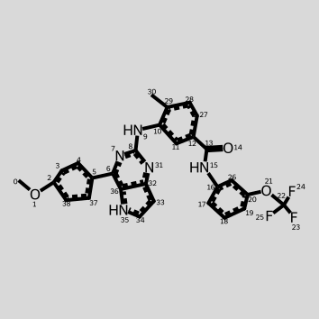 COc1ccc(-c2nc(Nc3cc(C(=O)Nc4cccc(OC(F)(F)F)c4)ccc3C)nc3cc[nH]c23)cc1